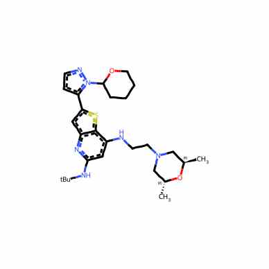 C[C@@H]1CN(CCNc2cc(NC(C)(C)C)nc3cc(-c4ccnn4C4CCCCO4)sc23)C[C@@H](C)O1